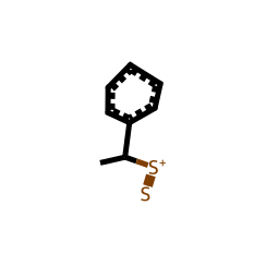 CC([S+]=S)c1ccccc1